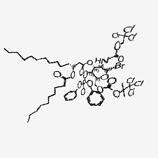 CCCCCCCCCCC[C@H](CC(=O)O[C@@H]1[C@@H](NC(=O)OCC(Cl)(Cl)Cl)[C@@H](Br)O[C@H](COC(=O)OC(C)(C)C(Cl)(Cl)Cl)[C@H]1OP(=O)(Oc1ccccc1)Oc1ccccc1)OC(=O)CCCCCCCCC